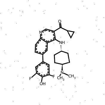 CN(C)[C@H]1CC[C@H](Nc2c(C(=O)C3CC3)cnc3ccc(-c4cc(F)c(O)c(F)c4)cc23)CC1